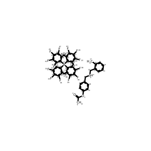 CC(=O)Oc1ccc(C[SH+]Cc2ccccc2C)cc1.Fc1c(F)c(F)c([B-](c2c(F)c(F)c(F)c(F)c2F)(c2c(F)c(F)c(F)c(F)c2F)c2c(F)c(F)c(F)c(F)c2F)c(F)c1F